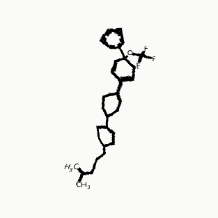 CC(C)CCCC1CCC(C2CCC(C3=CCC(OC(F)(F)F)(c4ccccc4)C=C3)CC2)CC1